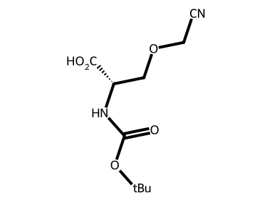 CC(C)(C)OC(=O)N[C@@H](COCC#N)C(=O)O